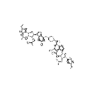 CCn1nnc([C@H]2OC(n3cnc4c(CC5CCC(Nc6nc(Cl)nc7c6ncn7C6O[C@H](c7nnn(CC)n7)[C@@H](OC(C)=O)[C@H]6OC(C)=O)CC5)nc(Cl)nc43)[C@H](OC(C)=O)[C@@H]2OC(C)=O)n1